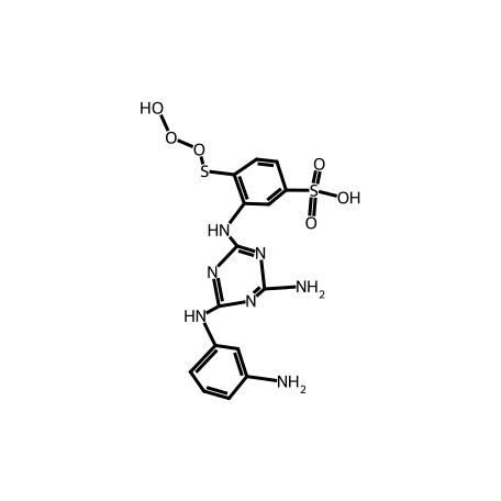 Nc1cccc(Nc2nc(N)nc(Nc3cc(S(=O)(=O)O)ccc3SOOO)n2)c1